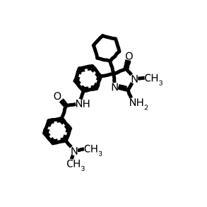 CN1C(=O)C(c2cccc(NC(=O)c3cccc(N(C)C)c3)c2)(C2CCCCC2)N=C1N